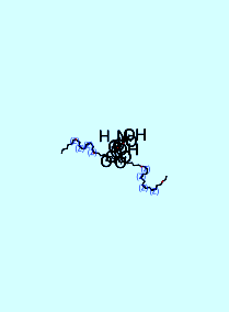 CCCCC/C=C\C/C=C\C/C=C\C/C=C\CCCCCC(=O)O[C@H](COC(=O)CCC/C=C\C/C=C\C/C=C\C/C=C\CCCCC)COP(=O)(O)OC[C@H](N)C(=O)O